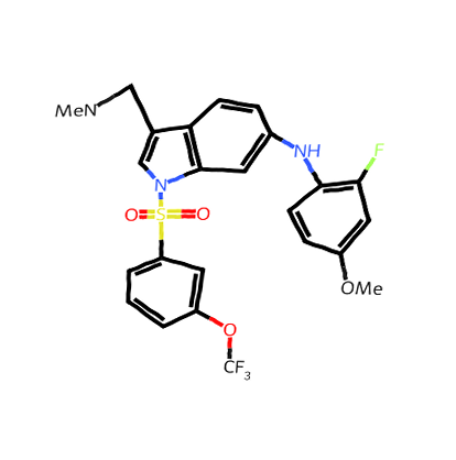 CNCc1cn(S(=O)(=O)c2cccc(OC(F)(F)F)c2)c2cc(Nc3ccc(OC)cc3F)ccc12